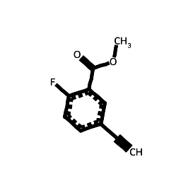 C#Cc1ccc(F)c(C(=O)OC)c1